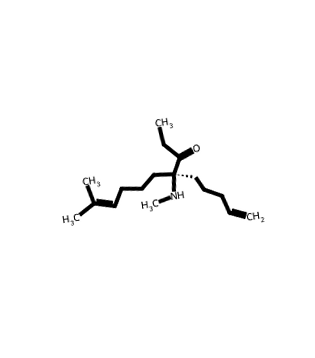 C=CCCC[C@@](CCCC=C(C)C)(NC)C(=O)CC